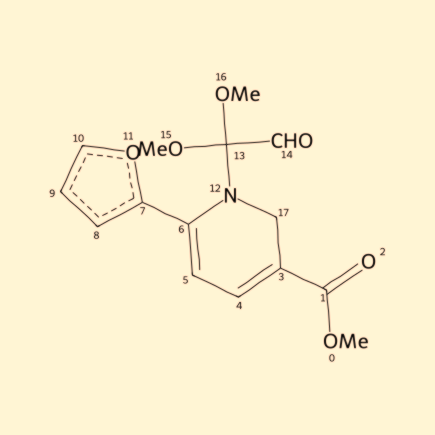 COC(=O)C1=CC=C(c2ccco2)N(C(C=O)(OC)OC)C1